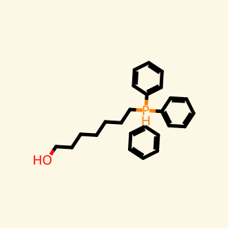 OCCCCCCC[PH](c1ccccc1)(c1ccccc1)c1ccccc1